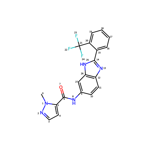 Cn1nccc1C(=O)Nc1ccc2nc(-c3ccccc3C(F)(F)F)[nH]c2c1